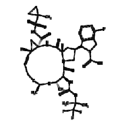 C[C@H]1CC/C=C\[C@@H]2C[C@@]2(C(=O)NS(=O)(=O)C2(C)CC2)NC(=O)[C@@H]2C[C@@H](C3c4cccc(F)c4CN3C(=O)O)CN2C(=O)[C@@H](NC(=O)OC(C)(C)C(F)(F)F)[C@H](C)C1